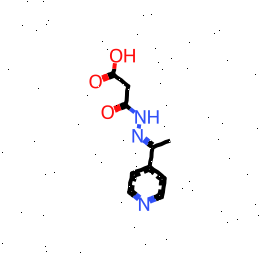 CC(=NNC(=O)CC(=O)O)c1ccncc1